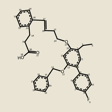 CCc1cc(-c2ccc(F)cc2)c(OCc2ccccc2)cc1OCCC=Cc1ccccc1CCC(=O)O